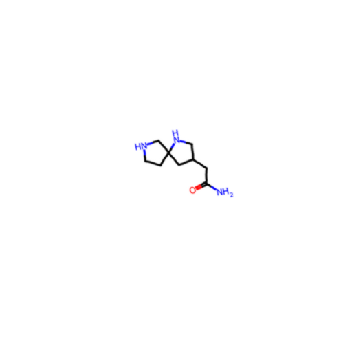 NC(=O)CC1CNC2(CCNC2)C1